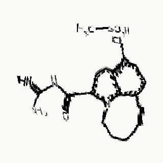 CS(=O)(=O)O.N=C(N)NC(=O)c1cc2c(Cl)ccc3c2n1CCCCC3